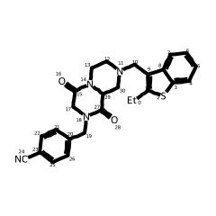 CCc1sc2ccccc2c1CN1CCN2C(=O)CN(Cc3ccc(C#N)cc3)C(=O)C2C1